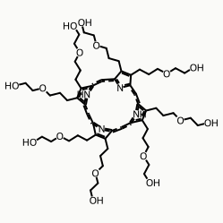 OCCOCCCC1=C(CCCOCCO)c2cc3[nH]c(cc4nc(cc5[nH]c(cc1n2)c(CCCOCCO)c5CCCOCCO)C(CCCOCCO)=C4CCCOCCO)c(CCCOCCO)c3CCCOCCO